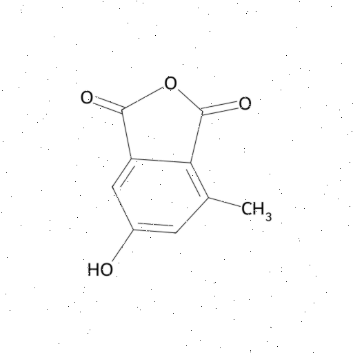 Cc1cc(O)cc2c1C(=O)OC2=O